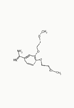 COCCOc1ccc(C(=N)N)cc1OCCOC